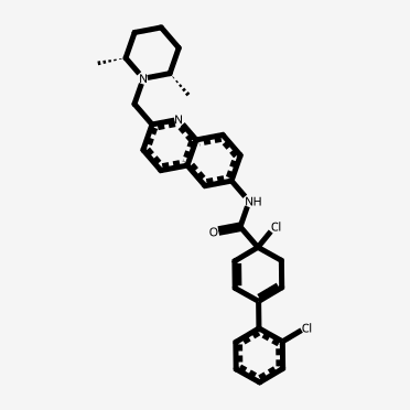 C[C@@H]1CCC[C@H](C)N1Cc1ccc2cc(NC(=O)C3(Cl)C=CC(c4ccccc4Cl)=CC3)ccc2n1